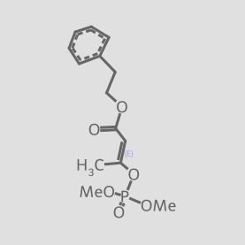 COP(=O)(OC)O/C(C)=C/C(=O)OCCc1ccccc1